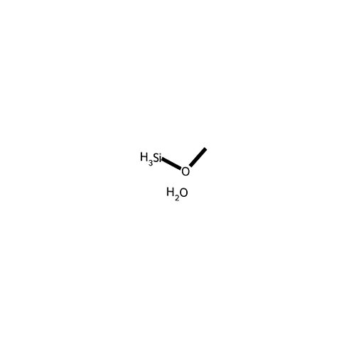 CO[SiH3].O